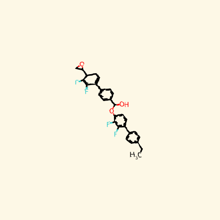 CCc1ccc(-c2ccc(OC(O)c3ccc(C4=CCC(C5CO5)C(F)=C4F)cc3)c(F)c2F)cc1